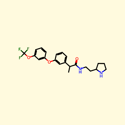 CC(C(=O)NCCC1CCCN1)c1cccc(Oc2cccc(OC(F)(F)F)c2)c1